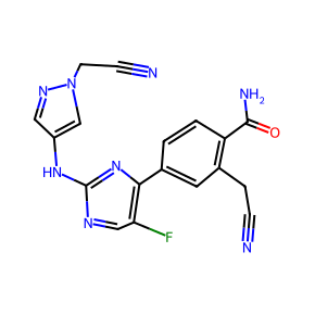 N#CCc1cc(-c2nc(Nc3cnn(CC#N)c3)ncc2F)ccc1C(N)=O